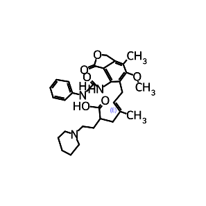 COc1c(C)c2c(c(NC(=O)Nc3ccccc3)c1C/C=C(\C)CC(CCN1CCCCC1)C(=O)O)C(=O)OC2